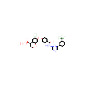 O=C(Nc1cncc(-c2cccc(C(F)(F)F)c2)n1)c1ccc(Oc2cc3c(cc2Cl)C(C(=O)O)CCO3)cc1